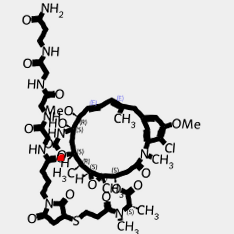 COc1cc2cc(c1Cl)N(C)C(=O)C[C@H](OC(=O)[C@H](C)N(C)C(=O)CCSC1CC(=O)N(CCCC(=O)NCC(=O)NCC(=O)NCC(=O)NCCC(N)=O)C1=O)[C@]1(C)O[C@H]1[C@H](C)[C@@H]1C[C@@](O)(NC(=O)O1)[C@H](OC)/C=C/C=C(\C)C2